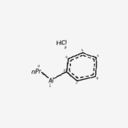 CC[CH2][Al][c]1ccccc1.Cl